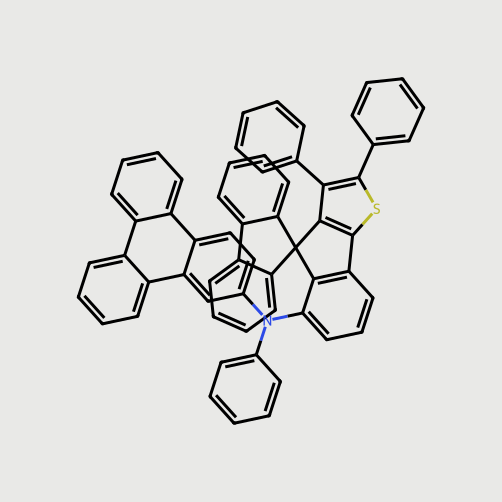 c1ccc(-c2sc3c(c2-c2ccccc2)C2(c4ccccc4-c4ccccc42)c2c-3cccc2N(c2ccccc2)c2ccc3c4ccccc4c4ccccc4c3c2)cc1